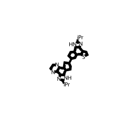 CC(C)c1nc2c3ccsc3c3cc(-c4ccc5c(c4)c4nccnc4c4nc(C(C)C)[nH]c54)ccc3c2[nH]1